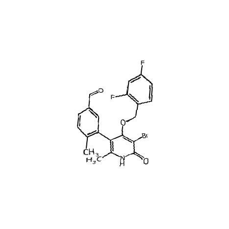 Cc1ccc(C=O)cc1-c1c(C)[nH]c(=O)c(Br)c1OCc1ccc(F)cc1F